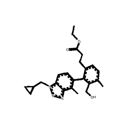 CCOC(=O)CCc1ccc(C)c(CO)c1-c1ccc2c(nnn2CC2CC2)c1C